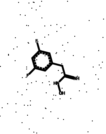 N=C(Cc1cc(F)cc(F)c1)NO